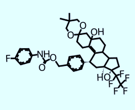 CC1(C)COC2(CCC3=C4C(CCC3(O)C2)C2CC[C@@](O)(C(F)(F)C(F)(F)F)[C@@]2(C)C[C@@H]4c2ccc(COC(=O)Nc3ccc(F)cc3)cc2)OC1